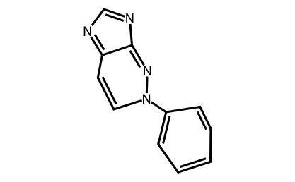 c1ccc(-n2ccc3ncnc-3n2)cc1